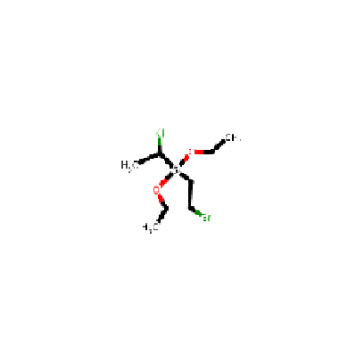 CCO[Si](CCBr)(OCC)C(C)Cl